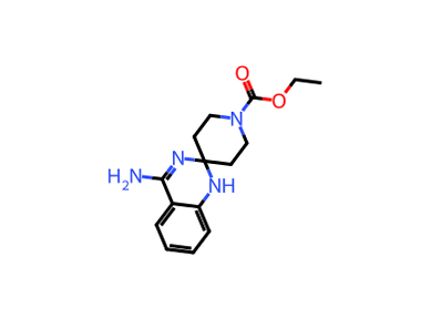 CCOC(=O)N1CCC2(CC1)N=C(N)c1ccccc1N2